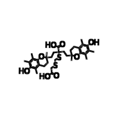 Cc1c(C)c2c(c(C)c1O)CCC(C)(CCC(CCC1(C)CCc3c(C)c(O)c(C)c(C)c3O1)(SCSCC(=O)O)C(=O)O)O2